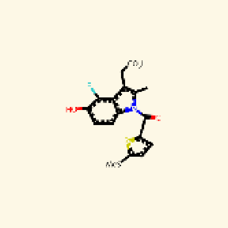 CSc1ccc(C(=O)n2c(C)c(CC(=O)O)c3c(F)c(O)ccc32)s1